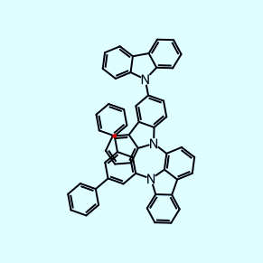 c1ccc(-c2cc(-c3ccccc3)cc(-n3c4ccccc4c4cccc(-n5c6ccccc6c6cc(-n7c8ccccc8c8ccccc87)ccc65)c43)c2)cc1